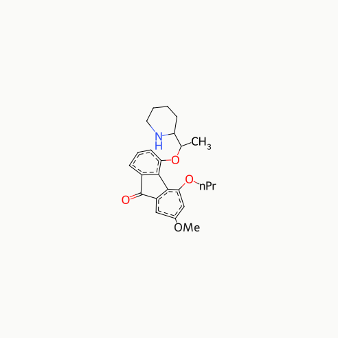 CCCOc1cc(OC)cc2c1-c1c(OC(C)C3CCCCN3)cccc1C2=O